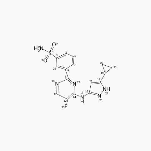 NS(=O)(=O)c1cccc(-c2ncc(F)c(Nc3cc(C4CC4)[nH]n3)n2)c1